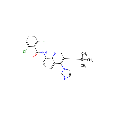 C[Si](C)(C)C#Cc1cnc2c(NC(=O)c3c(Cl)cccc3Cl)cccc2c1-n1ccnc1